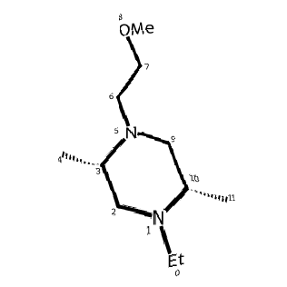 CCN1C[C@H](C)N(CCOC)C[C@@H]1C